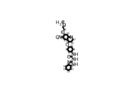 [C-]#[N+]c1cc2c(Oc3ccc(NC(=O)Nc4nc5ccccc5[nH]4)cc3)ccnc2cc1OCCOC